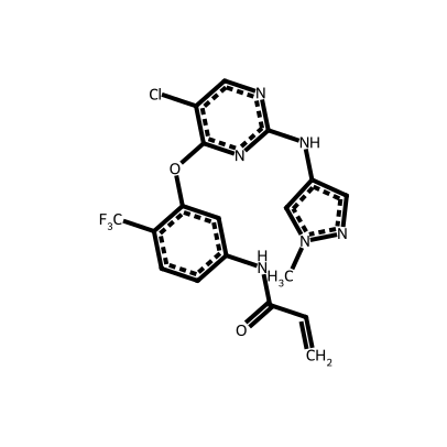 C=CC(=O)Nc1ccc(C(F)(F)F)c(Oc2nc(Nc3cnn(C)c3)ncc2Cl)c1